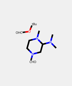 CC(C)(C)OC=O.CN(C)C1CN(C=O)CCN1C